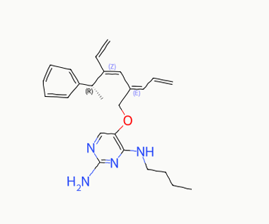 C=C/C=C(\C=C(\C=C)[C@H](C)c1ccccc1)COc1cnc(N)nc1NCCCC